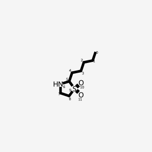 CCCCCC1NCCS1(=O)=O